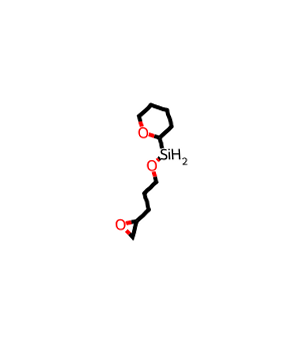 C1CCC([SiH2]OCCCC2CO2)OC1